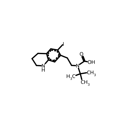 CC(C)(C)N(CCc1cc2c(cc1I)CCCN2)C(=O)O